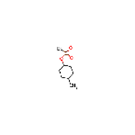 CCS(=O)(=O)OC1CCC(C)CC1